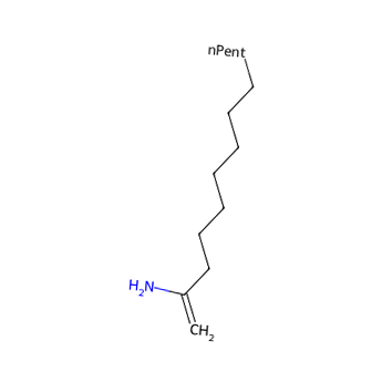 C=C(N)CCCCCCCCCCCC